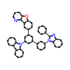 c1ccc(-c2nc3ccccc3n2-c2cccc(-c3cc(-c4ccc5oc6cccnc6c5c4)cc(-n4c5ccccc5c5ccccc54)c3)c2)cc1